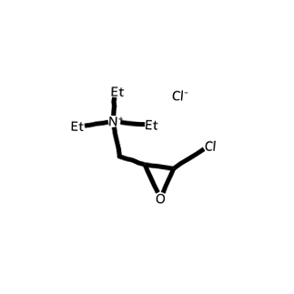 CC[N+](CC)(CC)CC1OC1Cl.[Cl-]